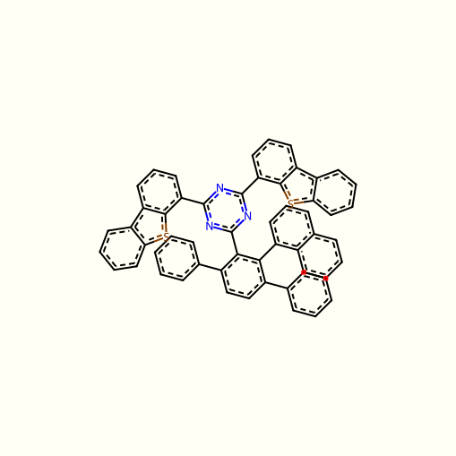 c1ccc(-c2ccc(-c3ccccc3)c(-c3cccc4ccccc34)c2-c2nc(-c3cccc4c3sc3ccccc34)nc(-c3cccc4c3sc3ccccc34)n2)cc1